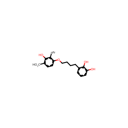 CCCc1c(OCCCCc2cccc(O)c2O)ccc(C(=O)O)c1O